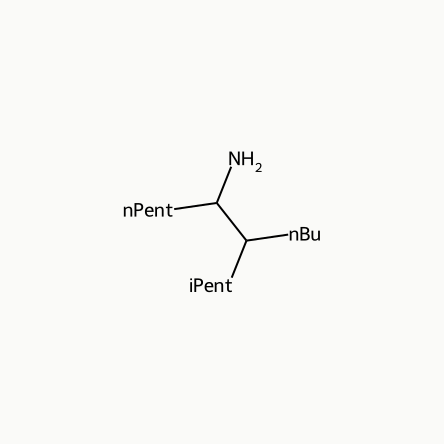 CCCCCC(N)C(CCCC)C(C)CCC